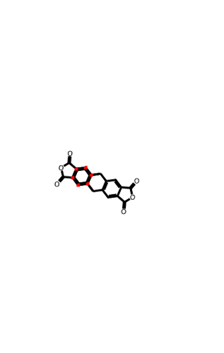 O=C1OC(=O)c2cc3c(cc21)C1c2ccccc2C3c2cc3c(cc21)C(=O)OC3=O